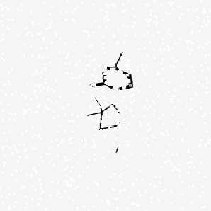 Cc1ccn([C@@H]2O[C@H](CO)[C@H](O)C2(C)C)c(=O)n1